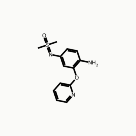 CS(C)(=O)=Nc1ccc(N)c(Oc2ccccn2)c1